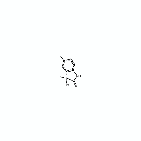 C=C1Nc2ccc(C)cc2C1(C)C(C)C